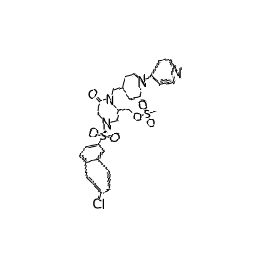 CS(=O)(=O)OCC1CN(S(=O)(=O)c2ccc3cc(Cl)ccc3c2)CC(=O)N1CC1CCN(c2ccncc2)CC1